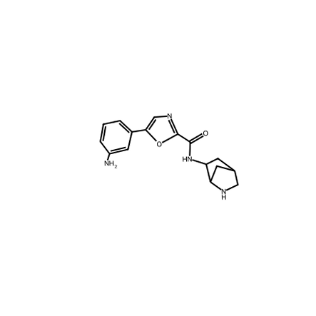 Nc1cccc(-c2cnc(C(=O)NC3CC4CNC3C4)o2)c1